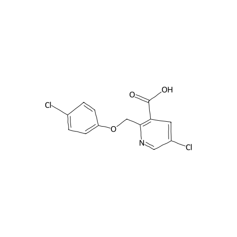 O=C(O)c1cc(Cl)cnc1COc1ccc(Cl)cc1